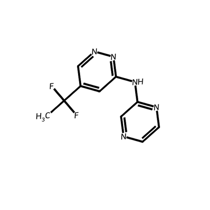 CC(F)(F)c1cnnc(Nc2cnccn2)c1